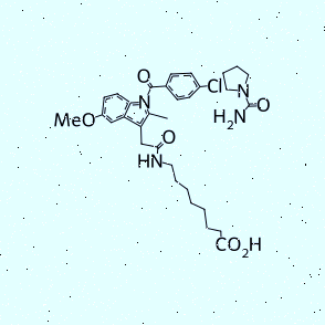 COc1ccc2c(c1)c(CC(=O)NCCCCCCCC(=O)O)c(C)n2C(=O)c1ccc(Cl)cc1.NC(=O)N1CCCC1